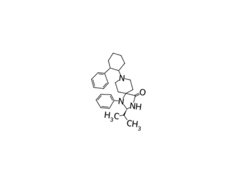 CC(C)[C@@H]1NC(=O)C2(CCN(C3CCCCC3c3ccccc3)CC2)N1c1ccccc1